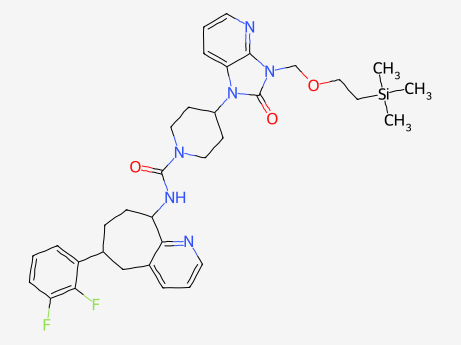 C[Si](C)(C)CCOCn1c(=O)n(C2CCN(C(=O)NC3CCC(c4cccc(F)c4F)Cc4cccnc43)CC2)c2cccnc21